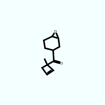 CC1(C(=O)C2CCC3OC3C2)C=CC1